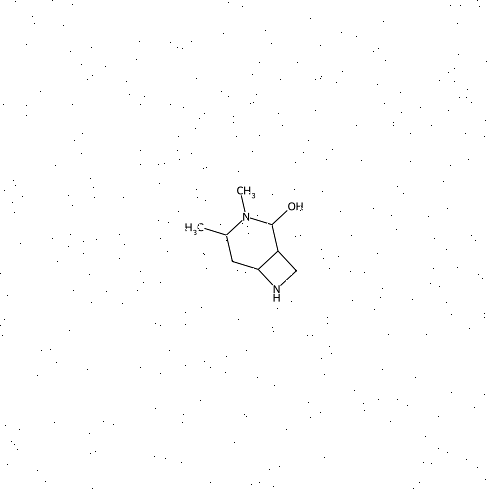 CC1CC2NCC2C(O)N1C